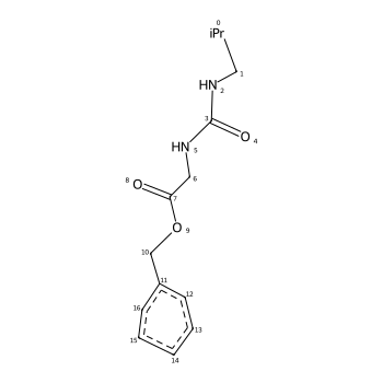 CC(C)CNC(=O)NCC(=O)OCc1ccccc1